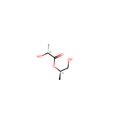 C[C@H](CO)OC(=O)[C@@H](C)O